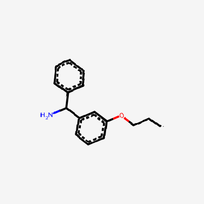 [CH2]CCOc1cccc(C(N)c2ccccc2)c1